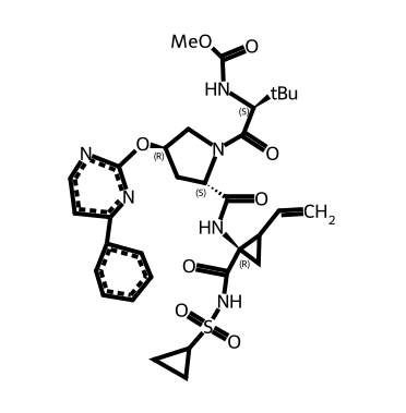 C=CC1C[C@]1(NC(=O)[C@@H]1C[C@@H](Oc2nccc(-c3ccccc3)n2)CN1C(=O)[C@@H](NC(=O)OC)C(C)(C)C)C(=O)NS(=O)(=O)C1CC1